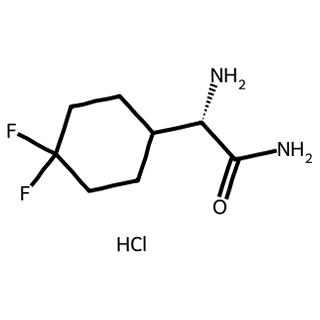 Cl.NC(=O)[C@@H](N)C1CCC(F)(F)CC1